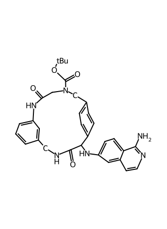 CC(C)(C)OC(=O)N1CC(=O)Nc2cccc(c2)CNC(=O)C(Nc2ccc3c(N)nccc3c2)c2ccc(cc2)C1